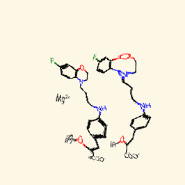 CC(C)OC(Cc1ccc(NCCCN2CCOc3cc(F)ccc32)cc1)C(=O)[O-].CC(C)OC(Cc1ccc(NCCCN2CCOc3cc(F)ccc32)cc1)C(=O)[O-].[Mg+2]